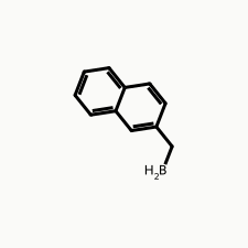 BCc1ccc2ccccc2c1